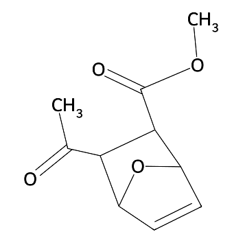 COC(=O)C1C2C=CC(O2)C1C(C)=O